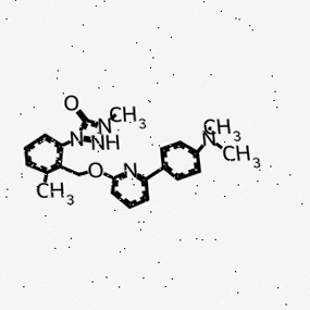 Cc1cccc(-n2[nH]n(C)c2=O)c1COc1cccc(-c2ccc(N(C)C)cc2)n1